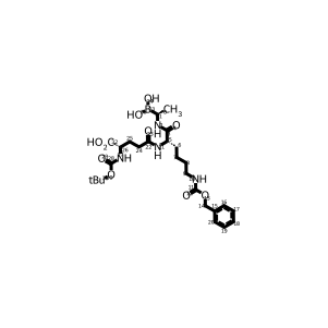 C[C@@H](NC(=O)[C@H](CCCCNC(=O)OCc1ccccc1)NC(=O)CC[C@H](NC(=O)OC(C)(C)C)C(=O)O)B(O)O